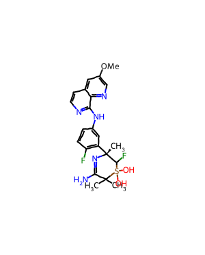 COc1cnc2c(Nc3ccc(F)c([C@@]4(C)N=C(N)C(C)(C)S(O)(O)C4F)c3)nccc2c1